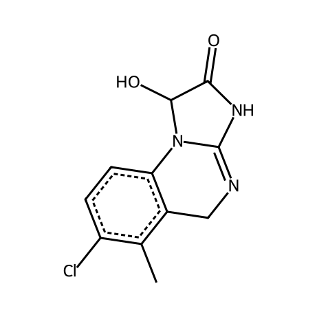 Cc1c(Cl)ccc2c1CN=C1NC(=O)C(O)N12